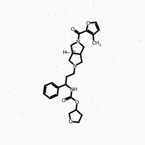 Cc1ccoc1C(=O)N1CC2CN(CCC(NC(=O)OC3CCOC3)c3ccccc3)C[C@H]2C1